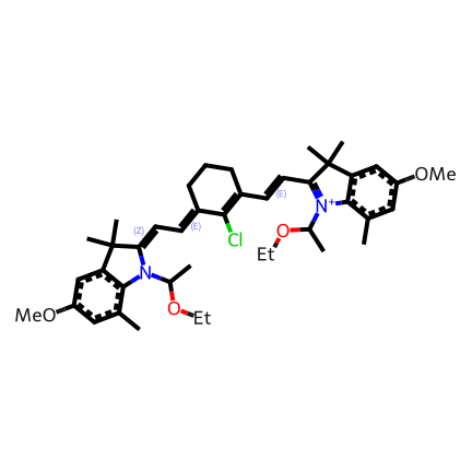 CCOC(C)N1/C(=C\C=C2/CCCC(/C=C/C3=[N+](C(C)OCC)c4c(C)cc(OC)cc4C3(C)C)=C2Cl)C(C)(C)c2cc(OC)cc(C)c21